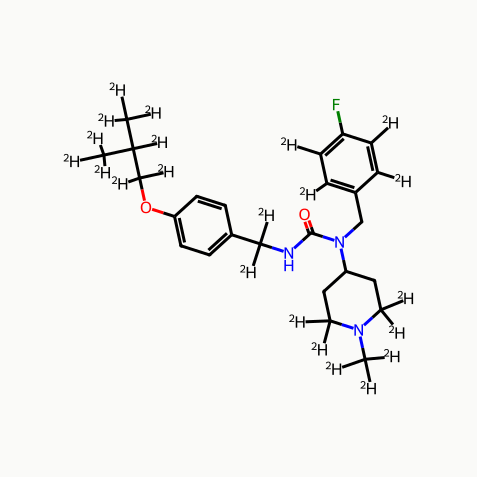 [2H]c1c([2H])c(CN(C(=O)NC([2H])([2H])c2ccc(OC([2H])([2H])C([2H])(C([2H])([2H])[2H])C([2H])([2H])[2H])cc2)C2CC([2H])([2H])N(C([2H])([2H])[2H])C([2H])([2H])C2)c([2H])c([2H])c1F